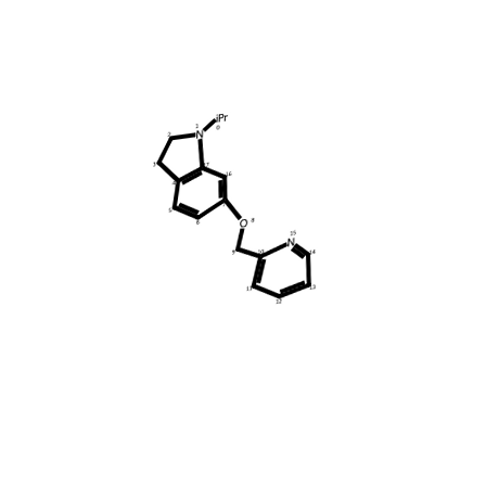 CC(C)N1CCc2ccc(OCc3ccccn3)cc21